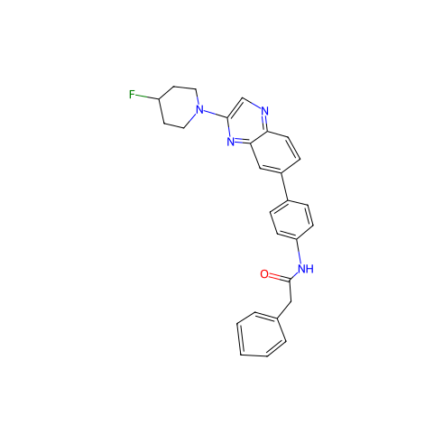 O=C(Cc1ccccc1)Nc1ccc(-c2ccc3ncc(N4CCC(F)CC4)nc3c2)cc1